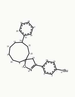 CC(C)(C)c1ccc(C2=NOC3(CCCCCC(c4ccccc4)CC3)C2)cc1